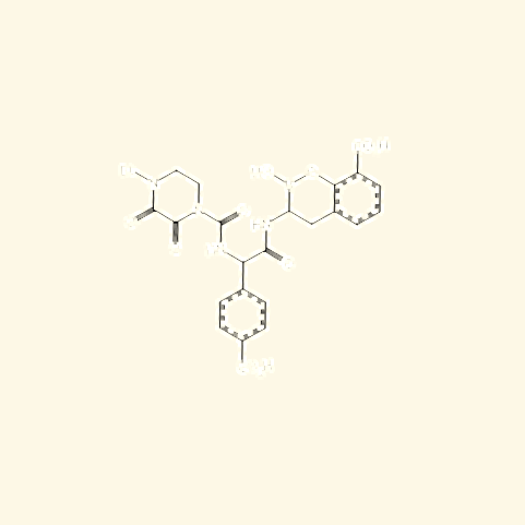 CCN1CCN(C(=O)NC(C(=O)NC2Cc3cccc(C(=O)O)c3OB2O)c2ccc(C(=O)O)cc2)C(=O)C1=O